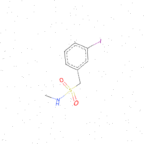 CNS(=O)(=O)Cc1cc[c]c(I)c1